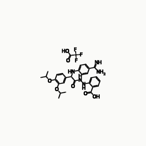 CC(C)Oc1ccc(C(Nc2ccc(C(=N)N)cc2)C(=O)NNc2ccccc2C(=O)O)cc1OC(C)C.O=C(O)C(F)(F)F